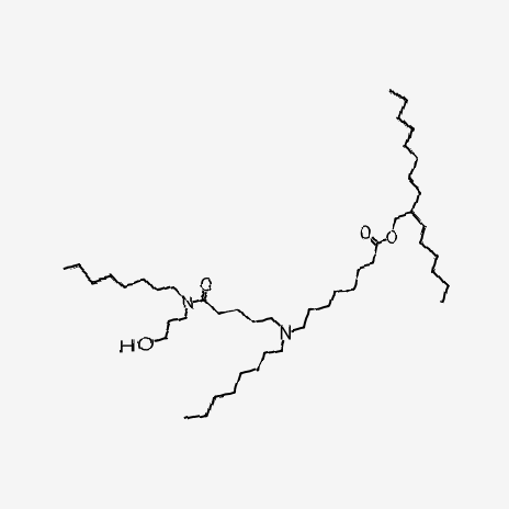 CCCCCCCCC(CCCCCC)COC(=O)CCCCCCCN(CCCCCCCC)CCCCC(=O)N(CCCO)CCCCCCCC